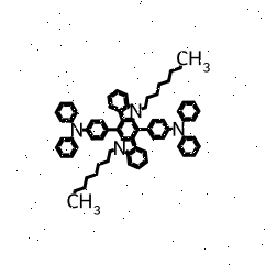 CCCCCCCCn1c2ccccc2c2c(-c3ccc(N(c4ccccc4)c4ccccc4)cc3)c3c(c(-c4ccc(N(c5ccccc5)c5ccccc5)cc4)c21)c1ccccc1n3CCCCCCCC